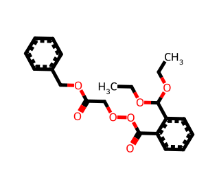 CCOC(OCC)c1ccccc1C(=O)OOCC(=O)OCc1ccccc1